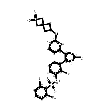 O=S1(=O)CC2(CC(Nc3nccc(-c4sc(Br)nc4-c4cccc(NS(=O)(=O)c5c(F)cccc5F)c4F)n3)C2)C1